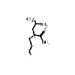 NC(=O)[C@@H](CCCF)CC(N)C(=O)O